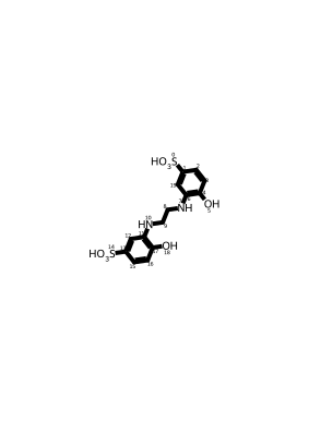 O=S(=O)(O)c1ccc(O)c(NCCNc2cc(S(=O)(=O)O)ccc2O)c1